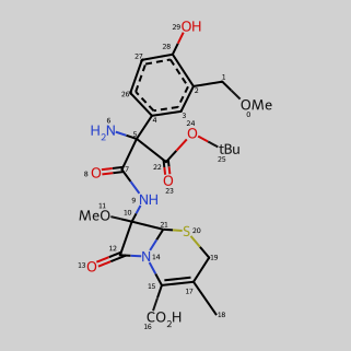 COCc1cc(C(N)(C(=O)NC2(OC)C(=O)N3C(C(=O)O)=C(C)CSC32)C(=O)OC(C)(C)C)ccc1O